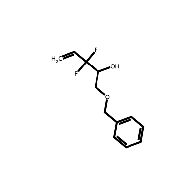 C=CC(F)(F)C(O)COCc1ccccc1